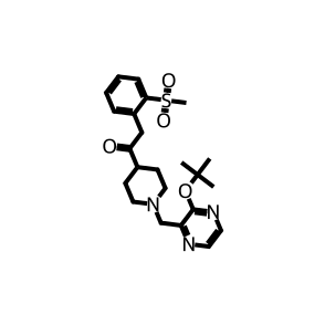 CC(C)(C)Oc1nccnc1CN1CCC(C(=O)Cc2ccccc2S(C)(=O)=O)CC1